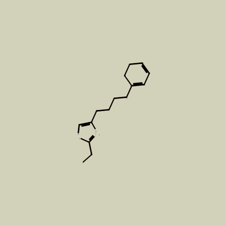 CCc1nc(CCCCC2=CC=CCC2)cs1